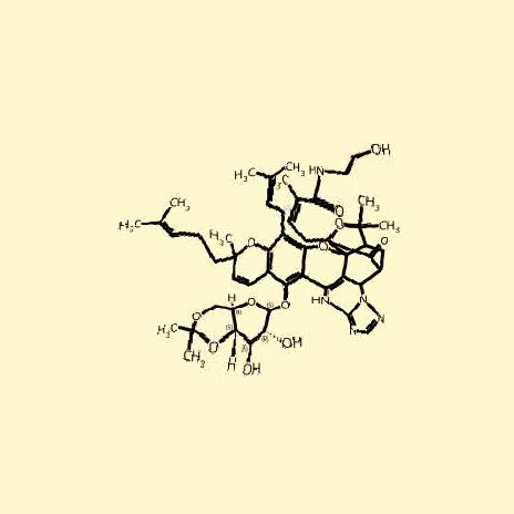 CC(C)=CCCC1(C)C=Cc2c(c(CC=C(C)C)c3c(c2O[C@@H]2O[C@@H]4COC(C)(C)O[C@H]4[C@H](O)[C@H]2O)C2=C4C(C5CC6C(C)(C)OC(C/C=C(/C)C(=O)NCCO)(C5=O)C46O3)n3ncnc3N2)O1